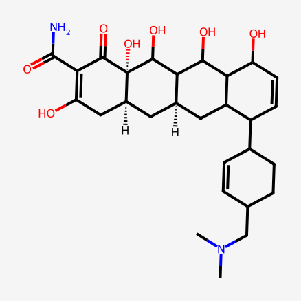 CN(C)CC1C=CC(C2C=CC(O)C3C(O)C4C(O)[C@]5(O)C(=O)C(C(N)=O)=C(O)C[C@@H]5C[C@@H]4CC23)CC1